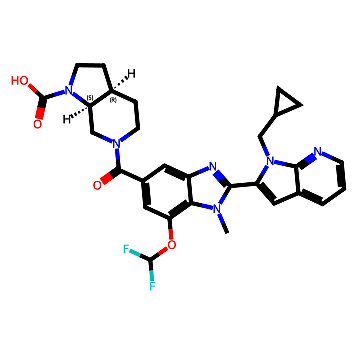 Cn1c(-c2cc3cccnc3n2CC2CC2)nc2cc(C(=O)N3CC[C@@H]4CCN(C(=O)O)[C@@H]4C3)cc(OC(F)F)c21